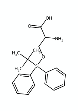 CC(C)(C)[Si](OCC(N)C(=O)O)(c1ccccc1)c1ccccc1